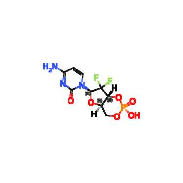 Nc1ccn([C@@H]2O[C@@H]3COP(=O)(O)O[C@H]3C2(F)F)c(=O)n1